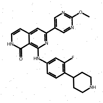 COc1ncc(-c2cc3cc[nH]c(=O)c3c(Nc3ccc(C4CCNCC4)c(F)c3)n2)cn1